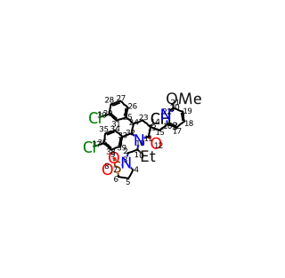 CCC(CN1CCCS1(=O)=O)N1C(=O)C(C)(Cc2cccc(OC)n2)CC(c2cccc(Cl)c2)C1c1ccc(Cl)cc1